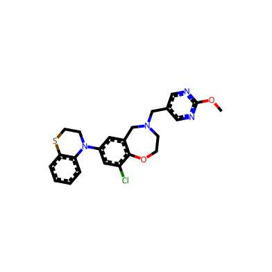 COc1ncc(CN2CCOc3c(Cl)cc(N4CCSc5ccccc54)cc3C2)cn1